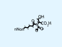 CCCCCCCCCCCCCC(=O)N(C(CO)C(=O)O)P(=O)=O